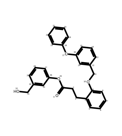 O=C(CCc1ccccc1OCc1cccc(Oc2ccccc2)c1)Oc1cccc(CO)c1